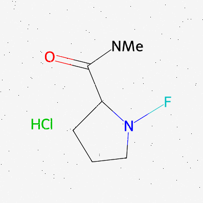 CNC(=O)C1CCCN1F.Cl